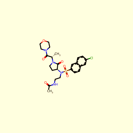 CC(=O)NCCN([C@H]1CCN([C@@H](C)C(=O)N2CCOCC2)C1=O)S(=O)(=O)c1ccc2cc(Cl)ccc2c1